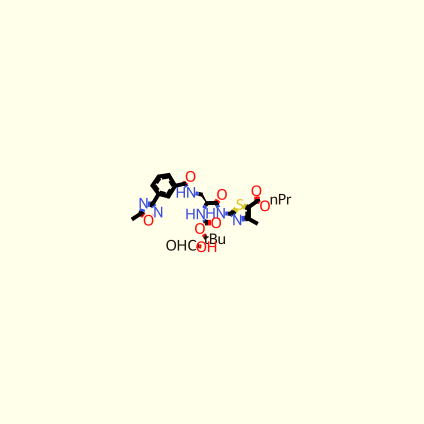 CCCOC(=O)c1sc(NC(=O)[C@H](CNC(=O)c2cccc(-c3noc(C)n3)c2)NC(=O)OC(C)(C)C)nc1C.O=CO